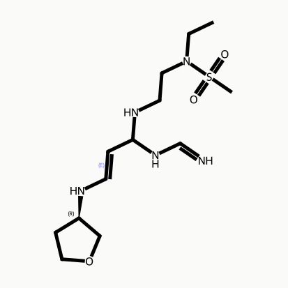 CCN(CCNC(/C=C/N[C@@H]1CCOC1)NC=N)S(C)(=O)=O